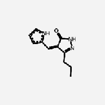 CCCC1=NNC(=O)C1=Cc1ccc[nH]1